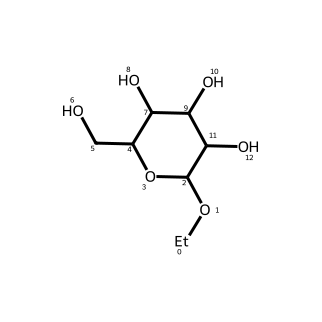 CCOC1OC(CO)C(O)C(O)C1O